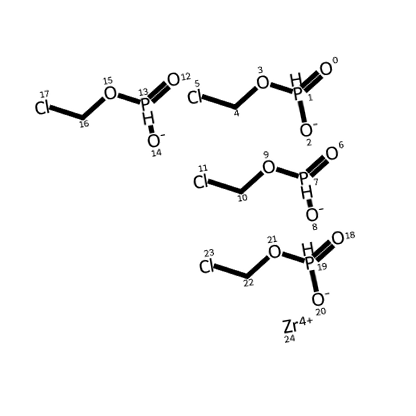 O=[PH]([O-])OCCl.O=[PH]([O-])OCCl.O=[PH]([O-])OCCl.O=[PH]([O-])OCCl.[Zr+4]